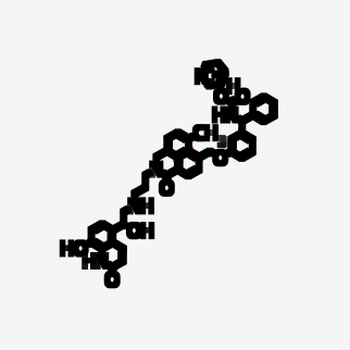 Cc1ccc(CN(CCCNC[C@@H](O)c2ccc(O)c3[nH]c(=O)ccc23)C(=O)c2ccc(COc3cccc(C(NC(=O)O[C@H]4CN5CCC4CC5)c4ccccc4)c3)cc2)cc1